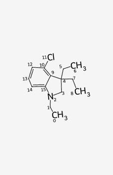 CCN1CC(CC)(CC)c2c(Cl)cccc21